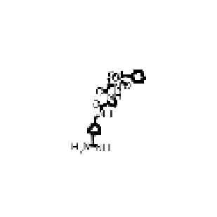 N=C(N)c1ccc(CNC(=O)C2CCN2C(=O)[C@@H](CO)NS(=O)(=O)Cc2ccccc2)cc1